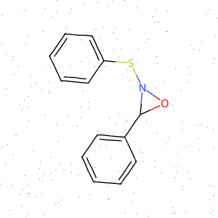 c1ccc(SN2OC2c2ccccc2)cc1